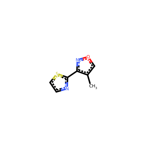 Cc1conc1-c1nccs1